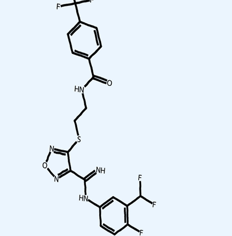 N=C(Nc1ccc(F)c(C(F)F)c1)c1nonc1SCCNC(=O)c1ccc(C(F)(F)F)cc1